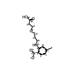 Cc1ccc([N+](=O)[O-])c(NCCSOCCC(=O)O)c1